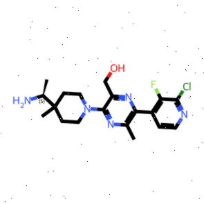 Cc1nc(N2CCC(C)([C@H](C)N)CC2)c(CO)nc1-c1ccnc(Cl)c1F